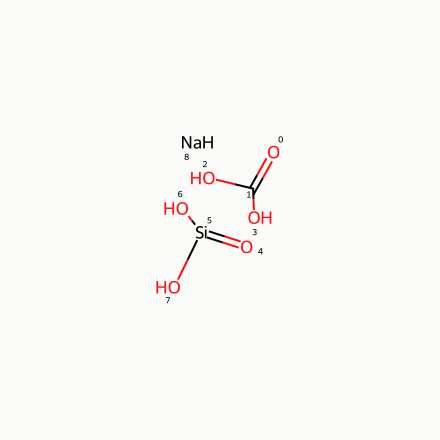 O=C(O)O.O=[Si](O)O.[NaH]